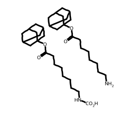 NCCCCCCCC(=O)OC12CC3CC(CC(C3)C1)C2.O=C(O)NCCCCCCCC(=O)OC12CC3CC(CC(C3)C1)C2